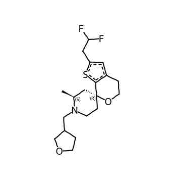 C[C@H]1C[C@@]2(CCN1CC1CCOC1)OCCc1cc(CC(F)F)sc12